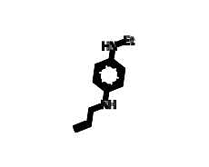 C=CCNc1ccc(NCC)cc1